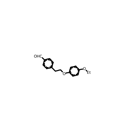 CCOc1ccc(OCCc2ccc(C=O)cc2)cc1